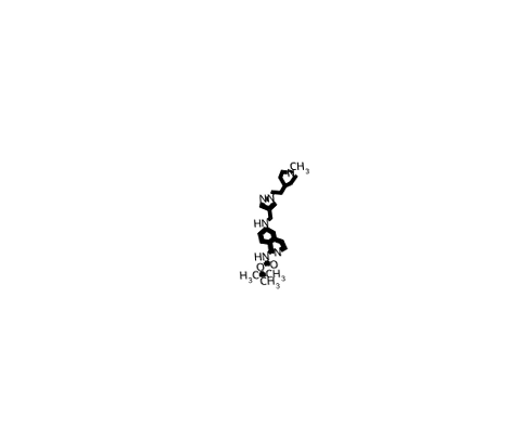 CN1CCC(CCn2cc(CNc3ccc4c(NC(=O)OC(C)(C)C)nccc4c3)cn2)CC1